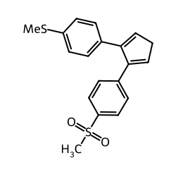 CSc1ccc(C2=CCC=C2c2ccc(S(C)(=O)=O)cc2)cc1